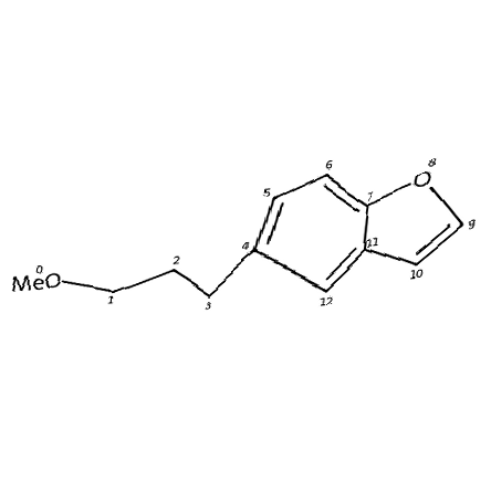 COCCCc1ccc2occc2c1